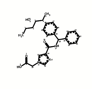 CCCCCC.Cl.O=C(O)Cn1cnc(C(=O)NC(c2ccccc2)c2ccccc2)c1